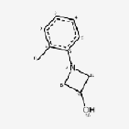 Cc1ccccc1N1CC(O)C1